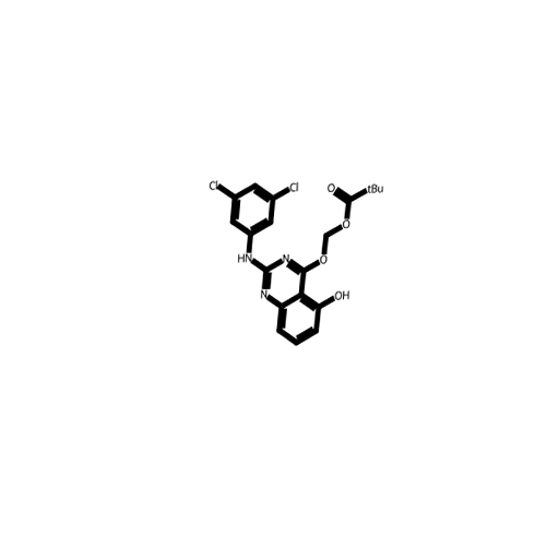 CC(C)(C)C(=O)OCOc1nc(Nc2cc(Cl)cc(Cl)c2)nc2cccc(O)c12